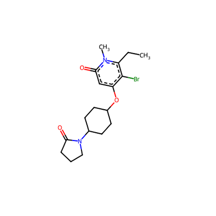 CCc1c(Br)c(OC2CCC(N3CCCC3=O)CC2)cc(=O)n1C